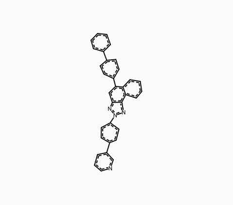 c1ccc(-c2ccc(-c3cc4nn(-c5ccc(-c6cccnc6)cc5)nc4c4ccccc34)cc2)cc1